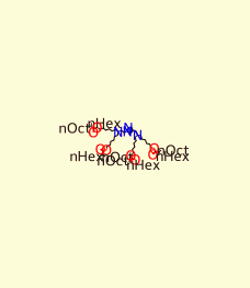 CCCCCCCCC(CCCCCC)C(=O)OCCCCCCN(CCCCCCOC(=O)C(CCCCCC)CCCCCCCC)CCn1cc(CN(CCCCCCOC(=O)C(CCCCCC)CCCCCCCC)CCCCCCOC(=O)C(CCCCCC)CCCCCCCC)cn1